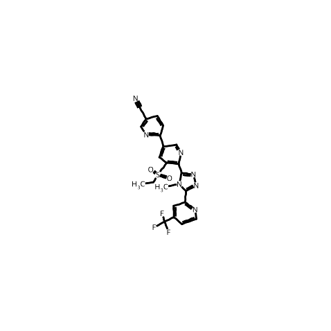 CCS(=O)(=O)c1cc(-c2ccc(C#N)cn2)cnc1-c1nnc(-c2cc(C(F)(F)F)ccn2)n1C